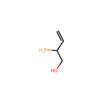 C=CC(P)CO